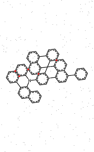 c1ccc(-c2ccc3ccccc3c2N(c2ccccc2)c2ccc3c(c2)C2(c4ccccc4-c4cccc5cccc2c45)c2cccc4c(-c5ccccc5)ccc-3c24)cc1